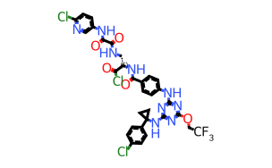 O=C(NC[C@H](NC(=O)c1ccc(Nc2nc(NC3(c4ccc(Cl)cc4)CC3)nc(OCC(F)(F)F)n2)cc1)C(=O)Cl)C(=O)Nc1ccc(Cl)nc1